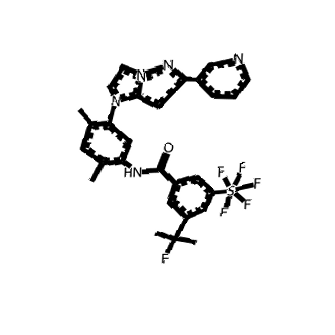 Cc1cc(C)c(-n2ccn3nc(-c4cccnc4)cc23)cc1NC(=O)c1cc(C(C)(C)F)cc(S(F)(F)(F)(F)F)c1